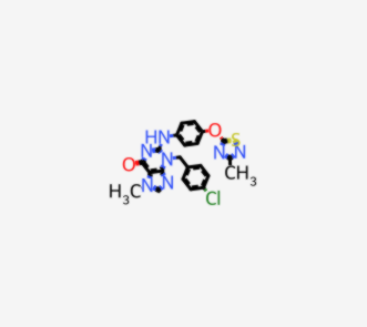 Cc1nsc(Oc2ccc(Nc3nc(=O)c4c(ncn4C)n3Cc3ccc(Cl)cc3)cc2)n1